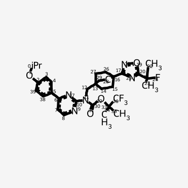 CC(C)Oc1ccc(-c2ccnc(N(CC34CCC(c5noc(C(C)(C)F)n5)(CC3)CC4)C(=O)OC(C)(C)C(F)(F)F)n2)cc1